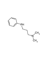 CN(C)CCCPc1ccccc1